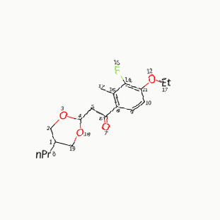 CCCC1COC(CC(=O)c2ccc(OCC)c(F)c2C)OC1